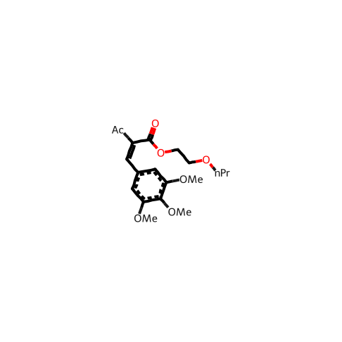 CCCOCCOC(=O)C(=Cc1cc(OC)c(OC)c(OC)c1)C(C)=O